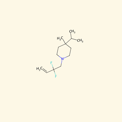 C=CC(F)(F)CN1CCC(C)(C(C)C)CC1